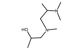 CC(O)CN(C)CC(C)N(C)C